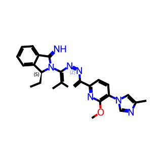 C=C(/N=N\C(=C(C)C)N1C(=N)c2ccccc2[C@@H]1CC)c1ccc(-n2cnc(C)c2)c(OC)n1